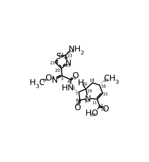 CON=C(C(=O)N[C@H]1C(=O)N2C(C(=O)O)=C[C@@H](C)C[C@@H]12)c1csc(N)n1